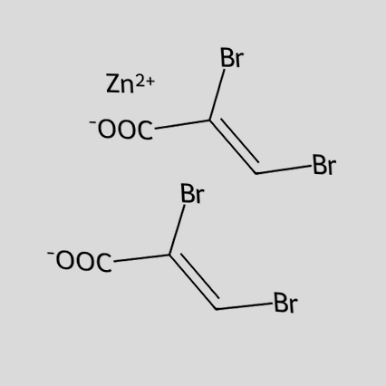 O=C([O-])C(Br)=CBr.O=C([O-])C(Br)=CBr.[Zn+2]